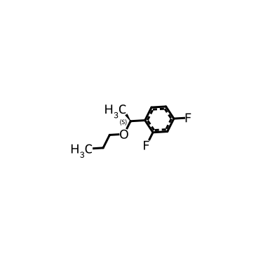 CCCO[C@@H](C)c1ccc(F)cc1F